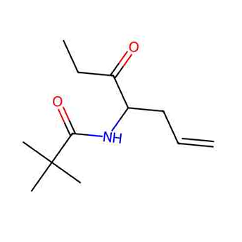 C=CCC(NC(=O)C(C)(C)C)C(=O)CC